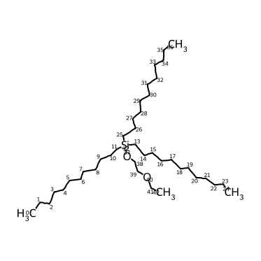 CCCCCCCCCCCC[Si](CCCCCCCCCCCC)(CCCCCCCCCCCC)OCCOCC